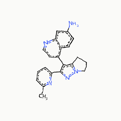 Cc1cccc(-c2nn3c(c2-c2ccnc4cc(N)ccc24)CCC3)n1